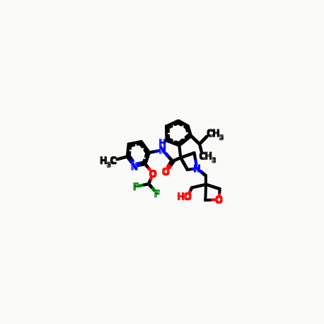 Cc1ccc(NC(=O)C2(c3ccccc3C(C)C)CN(CC3(CO)COC3)C2)c(OC(F)F)n1